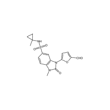 Cn1c(=O)n(-c2ccc(C=O)o2)c2cc(S(=O)(=O)NC3(C)CC3)ccc21